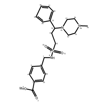 COC(=O)c1ccc(CNS(=O)(=O)CCC(c2ccccc2)N2CCN(C)CC2)cc1